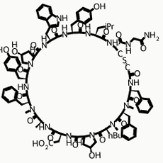 CCCC[C@H]1C(=O)N2C[C@@H](O)C[C@@H]2C(=O)N[C@@H](CC(=O)O)C(=O)N[C@@H](C)C(=O)N(C)[C@@H](Cc2ccccc2)C(=O)N[C@@H](Cc2ccc(O)cc2)C(=O)N2C[C@@H](O)C[C@@H]2C(=O)N[C@@H](Cc2c[nH]c3ccccc23)C(=O)N[C@@H](Cc2ccc(O)cc2)C(=O)N[C@@H](CC(C)C)C(=O)N[C@H](C(=O)NCC(N)=O)CSCC(=O)N[C@@H](Cc2ccccc2)C(=O)N(C)[C@@H](Cc2ccccc2)C(=O)N1C